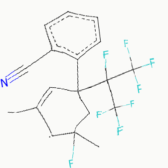 CC1=CC(c2ccccc2C#N)(C(F)(C(F)(F)F)C(F)(F)F)CC(C)(F)[CH]1